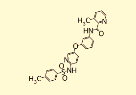 Cc1ccc(S(=O)(=O)Nc2ccc(Oc3cccc(NC(=O)c4ncccc4C)c3)cn2)cc1